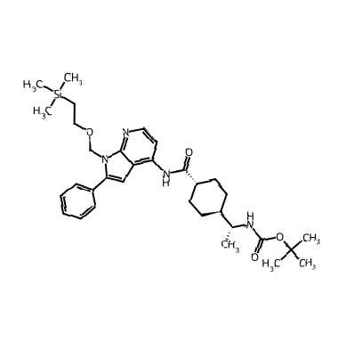 C[C@@H](NC(=O)OC(C)(C)C)[C@H]1CC[C@H](C(=O)Nc2ccnc3c2cc(-c2ccccc2)n3COCC[Si](C)(C)C)CC1